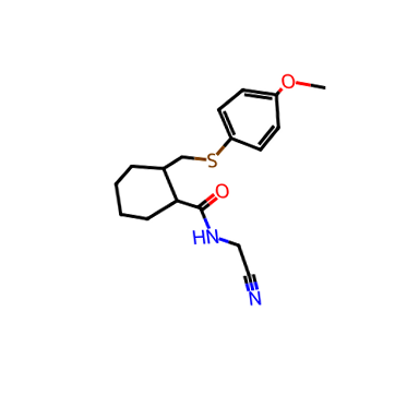 COc1ccc(SCC2CCCCC2C(=O)NCC#N)cc1